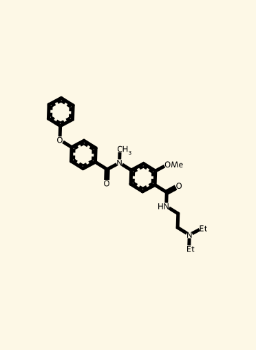 CCN(CC)CCNC(=O)c1ccc(N(C)C(=O)c2ccc(Oc3ccccc3)cc2)cc1OC